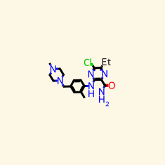 CCc1nc(C(N)=O)c(Nc2ccc(CN3CCN(C)CC3)cc2C)nc1Cl